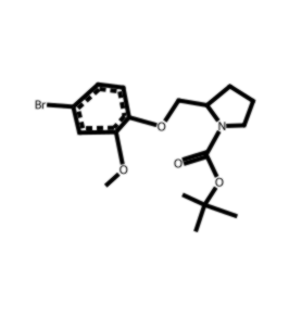 COc1cc(Br)ccc1OCC1CCCN1C(=O)OC(C)(C)C